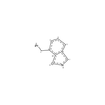 CC(C)Cc1cccc2cnoc12